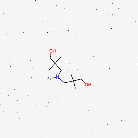 CC(=O)N(CC(C)(C)CO)CC(C)(C)CO